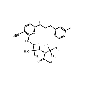 CC1(C)[C@H](Nc2nc(NCCc3cccc(Cl)c3)ncc2C#N)C[C@H]1N(C(=O)O)C(C)(C)C